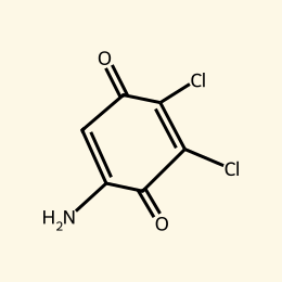 NC1=CC(=O)C(Cl)=C(Cl)C1=O